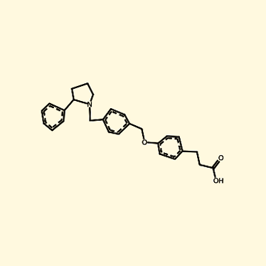 O=C(O)CCc1ccc(OCc2ccc(CN3CCCC3c3ccccc3)cc2)cc1